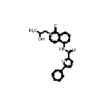 CC(O)Cn1ccc2c(NC(=O)c3ccc(-c4ccccc4)o3)cccc2c1=O